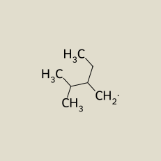 [CH2]C(CC)C(C)C